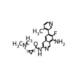 Cc1ccncc1-c1cc2cc(NC(=O)[C@@H]3C[C@@H]3CN(C)C)ncc2c(N)c1F